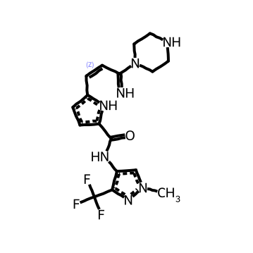 Cn1cc(NC(=O)c2ccc(/C=C\C(=N)N3CCNCC3)[nH]2)c(C(F)(F)F)n1